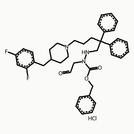 Cl.O=CCN(NCC(CCCN1CCC(Cc2ccc(F)cc2F)CC1)(c1ccccc1)c1ccccc1)C(=O)OCc1ccccc1